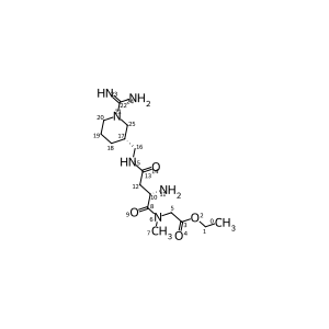 CCOC(=O)CN(C)C(=O)[C@@H](N)CC(=O)NC[C@@H]1CCCN(C(=N)N)C1